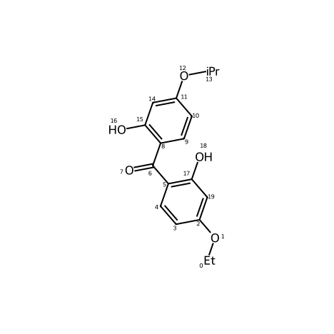 CCOc1ccc(C(=O)c2ccc(OC(C)C)cc2O)c(O)c1